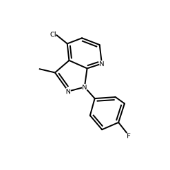 Cc1nn(-c2ccc(F)cc2)c2nccc(Cl)c12